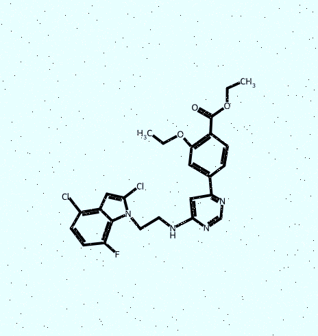 CCOC(=O)c1ccc(-c2cc(NCCn3c(Cl)cc4c(Cl)ccc(F)c43)ncn2)cc1OCC